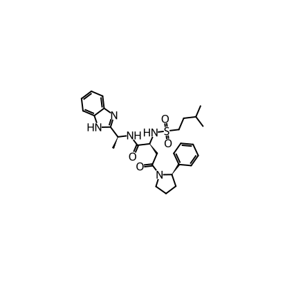 CC(C)CCS(=O)(=O)N[C@@H](CC(=O)N1CCC[C@@H]1c1ccccc1)C(=O)N[C@@H](C)c1nc2ccccc2[nH]1